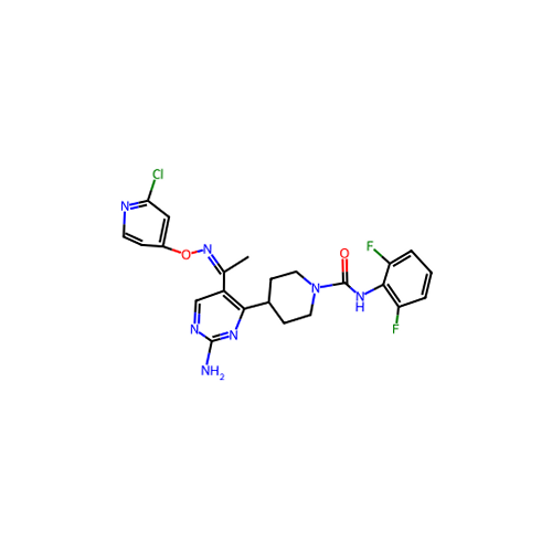 CC(=NOc1ccnc(Cl)c1)c1cnc(N)nc1C1CCN(C(=O)Nc2c(F)cccc2F)CC1